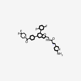 Nc1ccc(/C=C/C(=O)NCc2cc3cc(-c4ccc(C(=O)N5CCC(F)(F)CC5)cc4)cc(-c4cc(F)ccc4F)c3o2)cn1